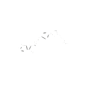 CNCCCC1CCN(c2ccc(CCNC(=O)c3sc4nc(C)ccc4c3N)cc2)C1